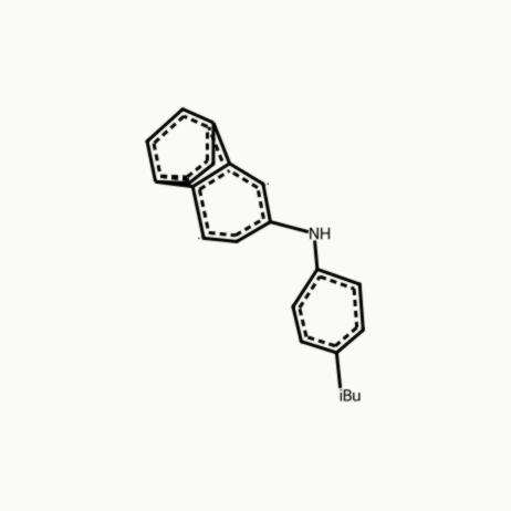 CCC(C)c1ccc(Nc2[c]c3c4ccc(cc4)c3[c]c2)cc1